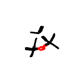 C=CC.C[Si](C)(C)O[Si](C)(C)C